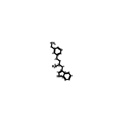 CCc1cncc(OC[C@H](N)Cc2c[nH]c3ccccc23)c1